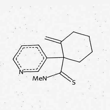 C=C1CCCCC1(C(=S)NC)c1cccnc1